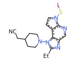 CCc1nc2cnc3c(ccn3SI)c2n1N1CCC(CC#N)CC1